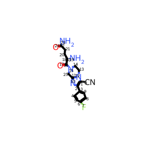 N#Cc1c(-c2ccc(F)cc2)nc2n1CCN(C(=O)[C@@H](N)CCC(N)=O)C2